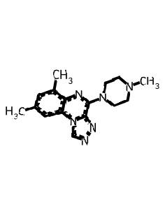 Cc1cc(C)c2nc(N3CCN(C)CC3)c3nncn3c2c1